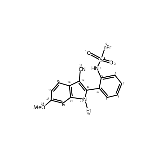 CCCS(=O)(=O)Nc1ccccc1-c1c(C#N)c2ccc(OC)cc2n1CC